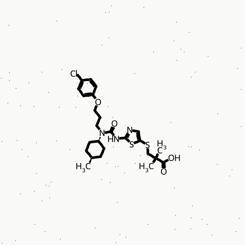 CC(C)(CSc1cnc(NC(=O)N(CCCOc2ccc(Cl)cc2)[C@H]2CC[C@H](C)CC2)s1)C(=O)O